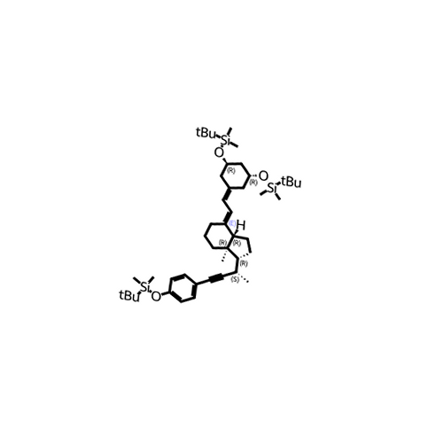 C[C@H](C#Cc1ccc(O[Si](C)(C)C(C)(C)C)cc1)[C@H]1CC[C@H]2/C(=C/C=C3C[C@@H](O[Si](C)(C)C(C)(C)C)C[C@H](O[Si](C)(C)C(C)(C)C)C3)CCC[C@]12C